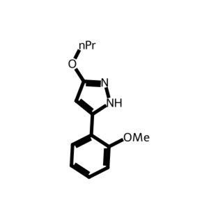 CCCOc1cc(-c2ccccc2OC)[nH]n1